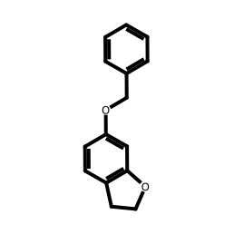 c1ccc(COc2ccc3c(c2)OCC3)cc1